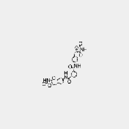 O=C(Nc1ccc(Cn2oc(=O)[nH]c2=O)cc1)c1cccc(C(=O)Nc2ccc(Cn3oc(=O)[nH]c3=O)cc2)c1